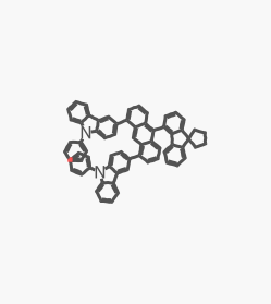 c1ccc(-n2c3ccccc3c3cc(-c4cccc5c(-c6cccc7c6-c6ccccc6C76CCCC6)c6cccc(-c7ccc8c(c7)c7ccccc7n8-c7ccccc7)c6cc45)ccc32)cc1